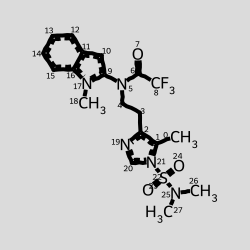 Cc1c(CCN(C(=O)C(F)(F)F)c2cc3ccccc3n2C)ncn1S(=O)(=O)N(C)C